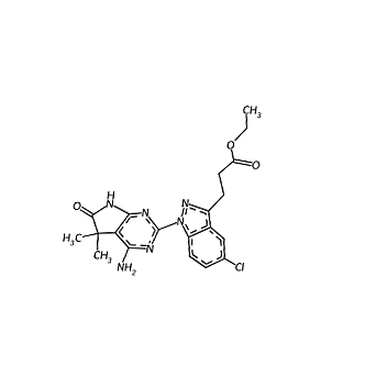 CCOC(=O)CCc1nn(-c2nc(N)c3c(n2)NC(=O)C3(C)C)c2ccc(Cl)cc12